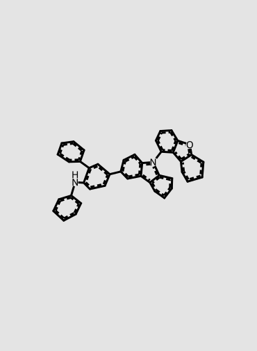 c1ccc(Nc2ccc(-c3ccc4c(c3)c3ccccc3n4-c3cccc4oc5ccccc5c34)cc2-c2ccccc2)cc1